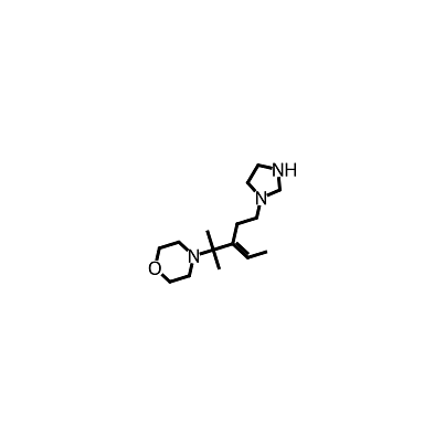 CC=C(CCN1CCNC1)C(C)(C)N1CCOCC1